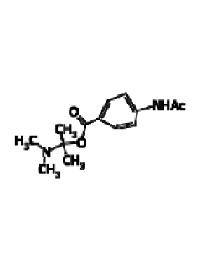 CC(=O)Nc1ccc(C(=O)OC(C)(C)N(C)C)cc1